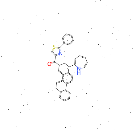 O=C(c1csc(-c2ccccc2)n1)C1C=c2c(ccc3c2=CCc2ccccc2-3)C(C2=CC=CC=CN2)C1